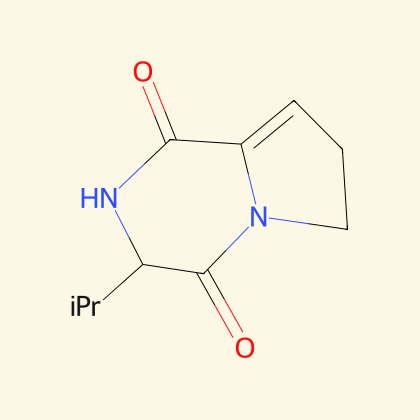 CC(C)C1NC(=O)C2=CCCN2C1=O